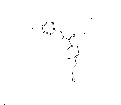 O=C(OCc1ccccc1)c1ccc(OCC2CC2)cc1